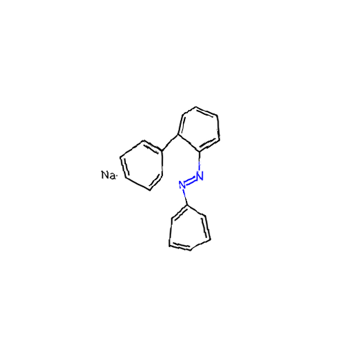 [Na].c1ccc(N=Nc2ccccc2-c2ccccc2)cc1